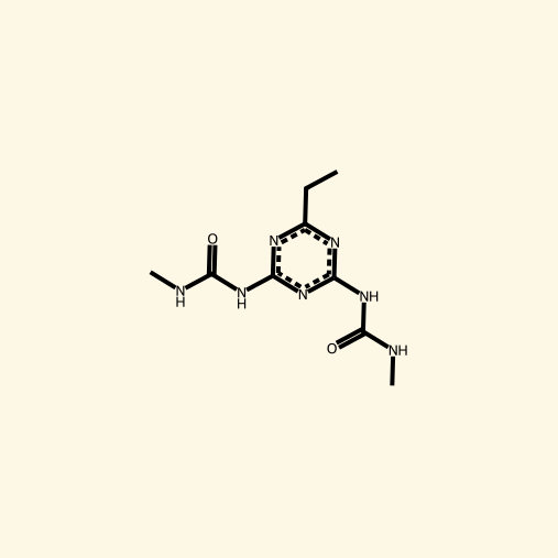 CCc1nc(NC(=O)NC)nc(NC(=O)NC)n1